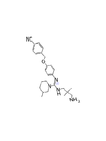 CC1CCCN(/C(=N\c2ccc(OCc3ccc(C#N)cc3)cc2)NCC(C)(C)CN)C1